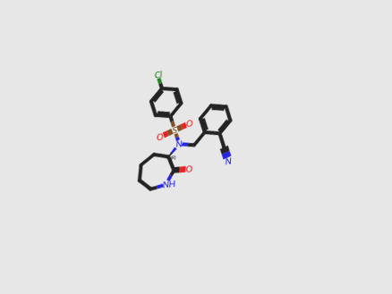 N#Cc1ccccc1CN([C@@H]1CCCCNC1=O)S(=O)(=O)c1ccc(Cl)cc1